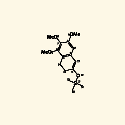 COc1cc2c(c(OC)c1OC)CCC(O[Si](C)(C)C)=C2